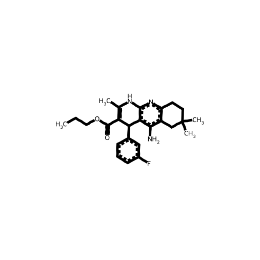 CCCOC(=O)C1=C(C)Nc2nc3c(c(N)c2C1c1cccc(F)c1)CC(C)(C)CC3